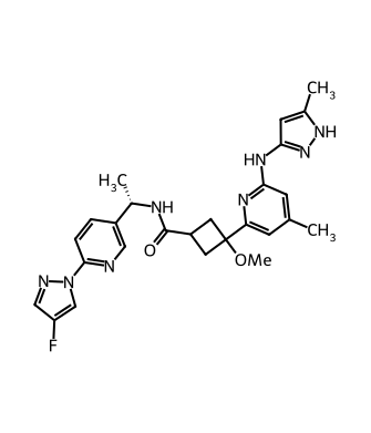 COC1(c2cc(C)cc(Nc3cc(C)[nH]n3)n2)CC(C(=O)N[C@@H](C)c2ccc(-n3cc(F)cn3)nc2)C1